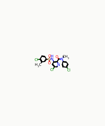 Cc1cc(S(=O)(=O)Nc2cc(Cl)cnc2C(=O)N(C)c2ccc(Cl)cc2)ccc1Cl